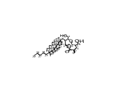 C=C(CC(CO)COCCO)C(=O)OCCCC(F)(F)C(F)(F)C(F)(F)C(F)(F)C(F)(F)C(F)(F)CCCCC